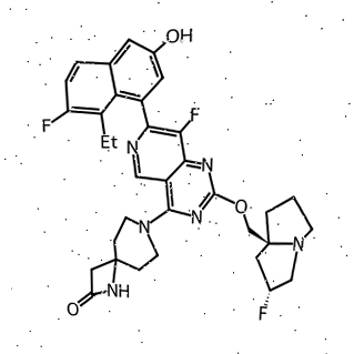 CCc1c(F)ccc2cc(O)cc(-c3ncc4c(N5CCC6(CC5)CC(=O)N6)nc(OC[C@@]56CCCN5C[C@H](F)C6)nc4c3F)c12